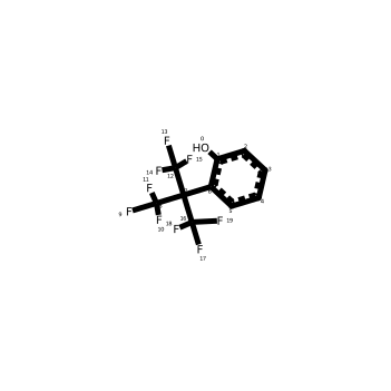 Oc1ccccc1C(C(F)(F)F)(C(F)(F)F)C(F)(F)F